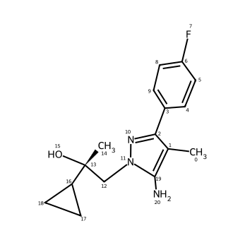 Cc1c(-c2ccc(F)cc2)nn(C[C@@](C)(O)C2CC2)c1N